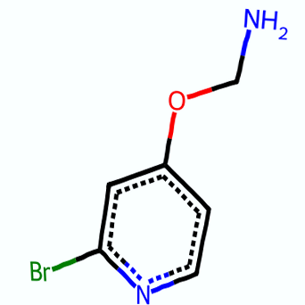 NCOc1ccnc(Br)c1